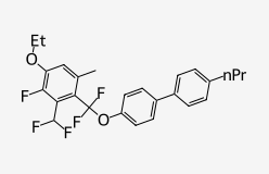 CCCc1ccc(-c2ccc(OC(F)(F)c3c(C)cc(OCC)c(F)c3C(F)F)cc2)cc1